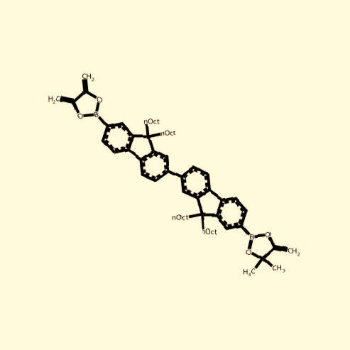 C=C1OB(c2ccc3c(c2)C(CCCCCCCC)(CCCCCCCC)c2cc(-c4ccc5c(c4)C(CCCCCCCC)(CCCCCCCC)c4cc(B6OC(=C)C(C)(C)O6)ccc4-5)ccc2-3)OC1=C